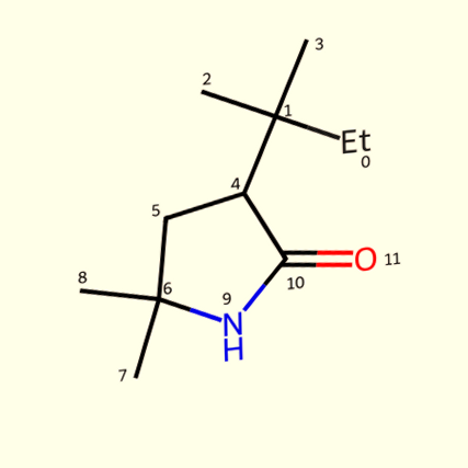 CCC(C)(C)C1CC(C)(C)NC1=O